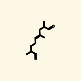 C=CC(C)CC/C=C(\C)CC(=C)C=O